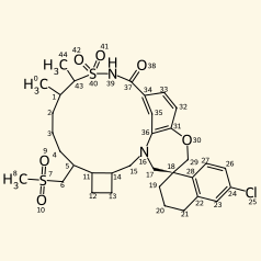 CC1CCCC(CS(C)(=O)=O)C2CCC2CN2C[C@@]3(CCCc4cc(Cl)ccc43)COc3ccc(cc32)C(=O)NS(=O)(=O)C1C